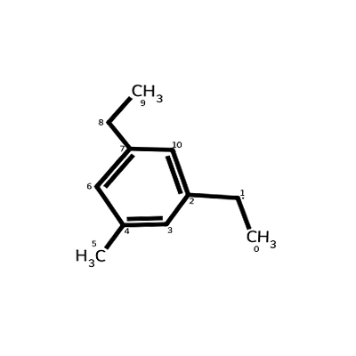 C[CH]c1cc(C)cc(CC)c1